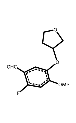 COc1cc(F)c(C=O)cc1OC1CCOC1